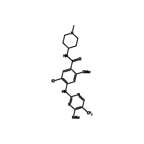 CNc1nc(Nc2cc(OC)c(C(=O)NC3CCN(C)CC3)cc2Cl)ncc1C(F)(F)F